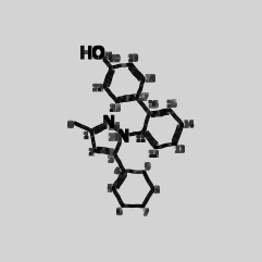 Cc1cc(C2=CCCCC2)n(-c2ccccc2-c2ccc(O)cc2)n1